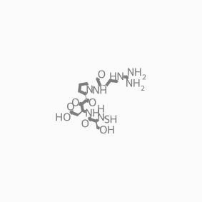 NC(N)NCCC[C@@H](C=O)NN1CCC[C@H]1C(=O)C(=O)[C@H](CC(=O)O)NC(=O)[C@H](CO)NS